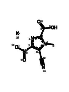 Cn1c(C(=O)O)nc([N+](=O)[O-])c1C#N.[K]